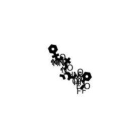 CN[C@H](C(=O)N[C@H](C(=O)N(C)[C@H](C=C(C)C(=O)NS(=O)(=O)c1ccccc1NC(=O)C(F)(F)F)C(C)C)C(C)(C)C)C(C)(C)c1ccccc1